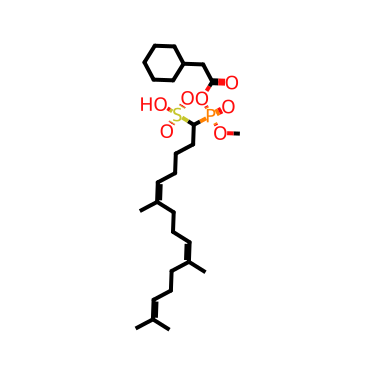 COP(=O)(OC(=O)CC1CCCCC1)C(CCCC=C(C)CCC=C(C)CCC=C(C)C)S(=O)(=O)O